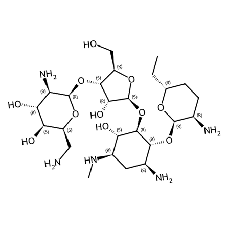 CC[C@@H]1CC[C@@H](N)[C@@H](O[C@H]2[C@H](O[C@@H]3O[C@H](CO)[C@@H](O[C@H]4O[C@@H](CN)[C@@H](O)[C@H](O)[C@H]4N)[C@H]3O)[C@@H](O)[C@H](NC)C[C@@H]2N)O1